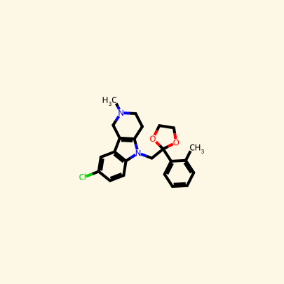 Cc1ccccc1C1(Cn2c3c(c4cc(Cl)ccc42)CN(C)CC3)OCCO1